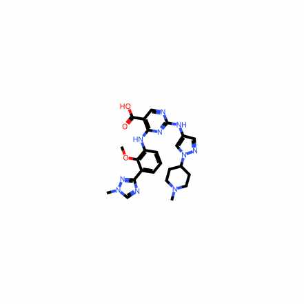 COc1c(Nc2nc(Nc3cnn(C4CCN(C)CC4)c3)ncc2C(=O)O)cccc1-c1ncn(C)n1